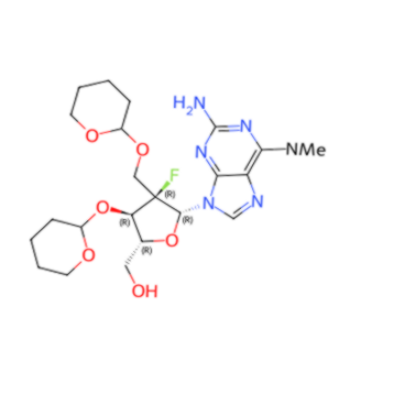 CNc1nc(N)nc2c1ncn2[C@@H]1O[C@H](CO)[C@@H](OC2CCCCO2)[C@]1(F)COC1CCCCO1